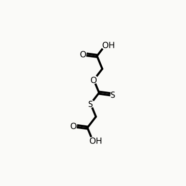 O=C(O)COC(=S)SCC(=O)O